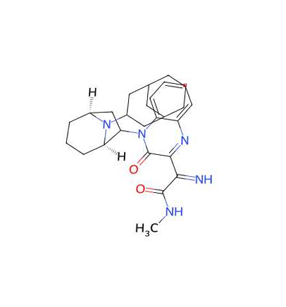 CNC(=O)C(=N)c1nc2ccccc2n(C2C[C@@H]3CCC[C@H]2N3C2CC3CCCC(C3)C2)c1=O